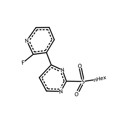 CCCCCCS(=O)(=O)c1nccc(-c2cccnc2F)n1